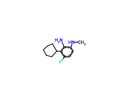 CNc1ccc(F)c(C2CCCCC2)c1N